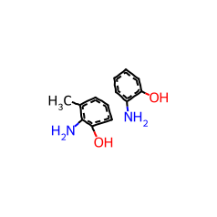 Cc1cccc(O)c1N.Nc1ccccc1O